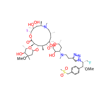 CO[C@H](c1ccc(CS(C)(=O)=O)cc1)[C@@H](CF)n1cc(CCN(C)[C@H]2C[C@@H](C)O[C@@H](O[C@@H]3[C@@H](C)[C@H](O[C@H]4C[C@@](C)(OC)[C@@H](O)[C@H](C)O4)[C@@H](C)C(=O)O[C@H](I)[C@@](C)(O)[C@H](O)[C@@H](C)N(C)C[C@H](C)C[C@@]3(C)O)[C@@H]2O)nn1